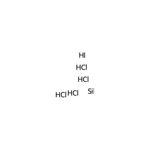 Cl.Cl.Cl.Cl.I.[Si]